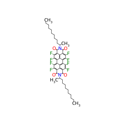 CCCCCCCCCCC(C)N1C(=O)c2c(F)c(F)c3c4c(F)c(F)c5c6c(c(F)c(F)c(c7c(F)c(F)c(c2c37)C1=O)c64)C(=O)N(C(C)CCCCCCCCCC)C5=O